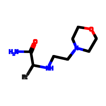 CCC(NCCN1CCOCC1)C(N)=O